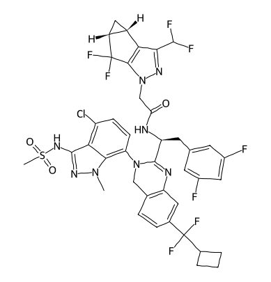 Cn1nc(NS(C)(=O)=O)c2c(Cl)ccc(N3Cc4ccc(C(F)(F)C5CCC5)cc4N=C3[C@H](Cc3cc(F)cc(F)c3)NC(=O)Cn3nc(C(F)F)c4c3C(F)(F)[C@@H]3C[C@H]43)c21